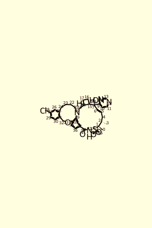 C[C@@H]1[C@@H](C)C/C=C/[C@@](O)(c2ccncn2)[C@@H]2CC[C@H]2CN2CCCCc3cc(Cl)ccc3COc3ccc(cc32)C(=O)NS1(=O)=O